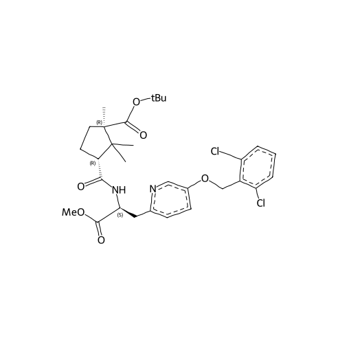 COC(=O)[C@H](Cc1ccc(OCc2c(Cl)cccc2Cl)cn1)NC(=O)[C@@H]1CC[C@@](C)(C(=O)OC(C)(C)C)C1(C)C